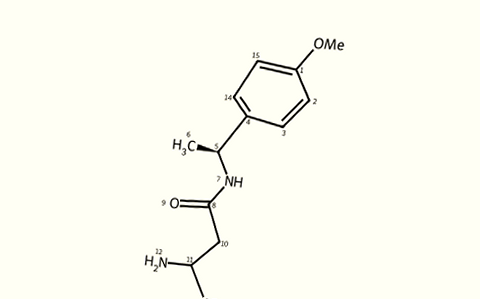 COc1ccc([C@H](C)NC(=O)CC(N)C(F)(F)F)cc1